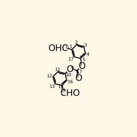 O=Cc1cccc(OC(=O)Oc2cccc(C=O)c2)c1